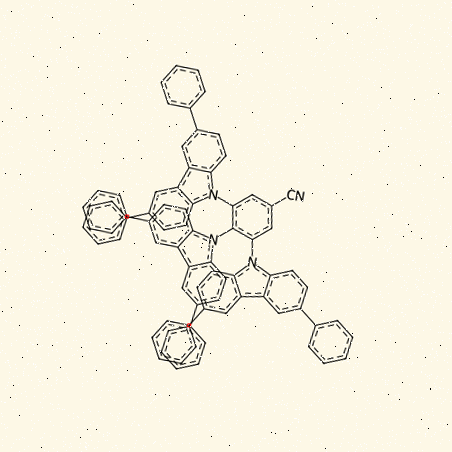 N#Cc1cc(-n2c3ccc(-c4ccccc4)cc3c3cc(-c4ccccc4)ccc32)c(-n2c3ccc(-c4ccccc4)cc3c3cc(-c4ccccc4)ccc32)c(-n2c3ccc(-c4ccccc4)cc3c3cc(-c4ccccc4)ccc32)c1